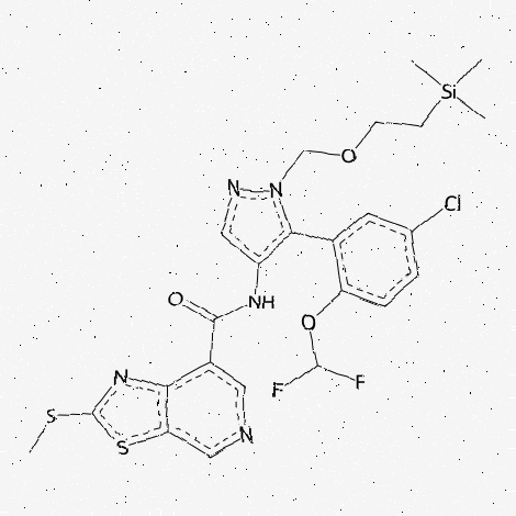 CSc1nc2c(C(=O)Nc3cnn(COCC[Si](C)(C)C)c3-c3cc(Cl)ccc3OC(F)F)cncc2s1